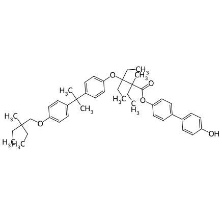 CCC(C)(CC)COc1ccc(C(C)(C)c2ccc(OC(CC)(CC)C(C)(CC)C(=O)Oc3ccc(-c4ccc(O)cc4)cc3)cc2)cc1